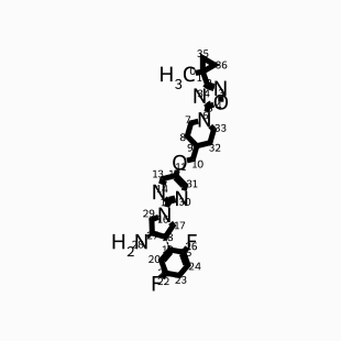 CC1(c2noc(N3CCC(COc4cnc(N5C[C@H](C6=CC(F)CC=C6F)[C@@H](N)C5)nc4)CC3)n2)CC1